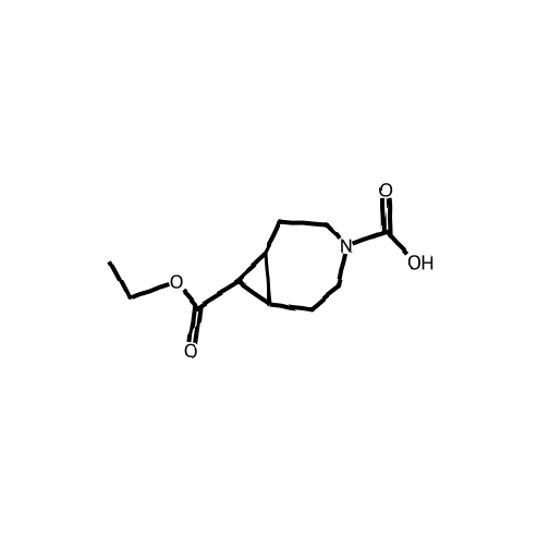 CCOC(=O)C1C2CCN(C(=O)O)CCC21